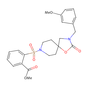 COC(=O)c1ccccc1S(=O)(=O)N1CCC2(CC1)CN(Cc1cccc(OC)c1)C(=O)O2